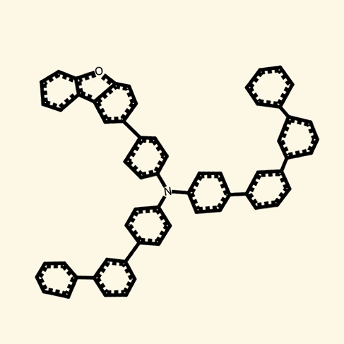 c1ccc(-c2cccc(-c3ccc(N(c4ccc(-c5cccc(-c6cccc(-c7ccccc7)c6)c5)cc4)c4ccc(-c5ccc6oc7ccccc7c6c5)cc4)cc3)c2)cc1